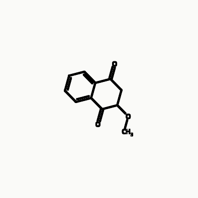 COC1CC(=O)c2ccccc2C1=O